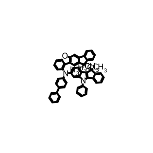 CC1(C)c2ccccc2-c2cc3oc4cccc(N(c5ccc(-c6ccccc6)cc5)c5ccc6c7c(n(-c8ccccc8)c6c5)-c5ccccc5C7(C)C)c4c3cc21